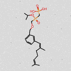 CC(C)=CCCC(C)=Cc1cccc(COCP(=O)(CP(=O)(O)O)OC(C)C)c1